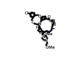 COCCN1CCN(C[C@]2(OC)/C=C/C[C@H](C)[C@@H](C)S(=O)(=O)NC(=O)c3ccc4c(c3)N(CCCCc3cc(Cl)ccc3CO4)C[C@@H]3CC[C@H]32)CC1